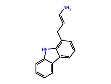 NC=CCc1cccc2c1[nH]c1ccccc12